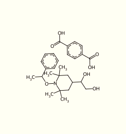 CC(ON1C(C)(C)CC(C(O)CO)CC1(C)C)c1ccccc1.O=C(O)c1ccc(C(=O)O)cc1